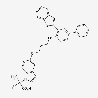 CC(C)(C(=O)O)n1ccc2cc(OCCCOc3ccc(-c4ccccc4)cc3-c3cc4ccccc4o3)ccc21